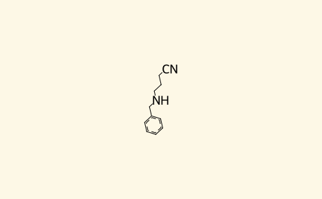 N#CCCCNCc1ccccc1